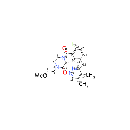 COCCN1CCN(C(=O)c2cc(Cc3nn[c]c(C)c3C)ccc2F)CC1=O